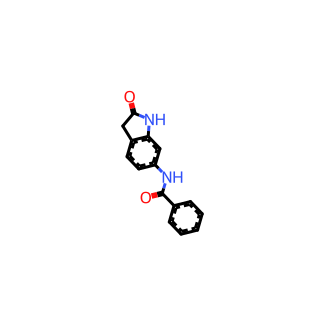 O=C1Cc2ccc(NC(=O)c3ccccc3)cc2N1